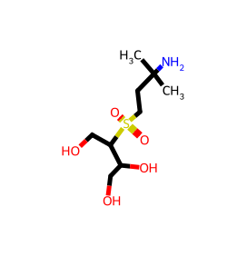 CC(C)(N)CCS(=O)(=O)C(CO)C(O)CO